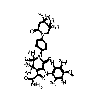 [2H]c1c([2H])c(-n2nc(C(N)=O)c3c2C(=O)N(c2ccc(N4CC([2H])([2H])C([2H])([2H])CC4=O)cc2)C([2H])([2H])C3([2H])[2H])c([2H])c([2H])c1OC